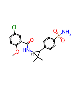 COc1ccc(Cl)cc1C(=O)N[C@H]1C(c2ccc(S(N)(=O)=O)cc2)C1(C)C